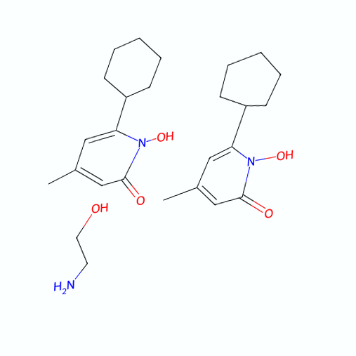 Cc1cc(C2CCCCC2)n(O)c(=O)c1.Cc1cc(C2CCCCC2)n(O)c(=O)c1.NCCO